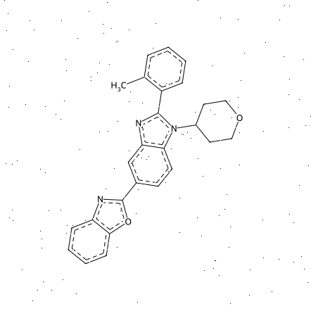 Cc1ccccc1-c1nc2cc(-c3nc4ccccc4o3)ccc2n1C1CCOCC1